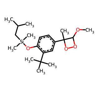 COC1OOC1(C)c1ccc(O[Si](C)(C)CC(C)C)c(C(C)(C)C)c1